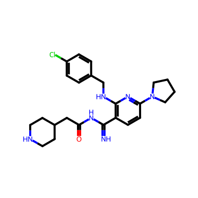 N=C(NC(=O)CC1CCNCC1)c1ccc(N2CCCC2)nc1NCc1ccc(Cl)cc1